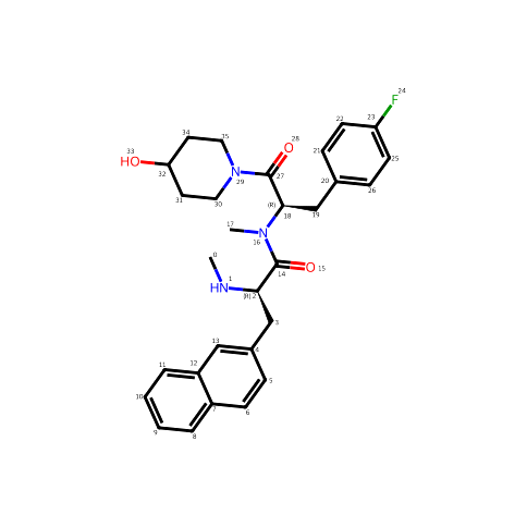 CN[C@H](Cc1ccc2ccccc2c1)C(=O)N(C)[C@H](Cc1ccc(F)cc1)C(=O)N1CCC(O)CC1